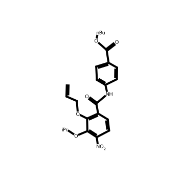 C=CCOc1c(C(=O)Nc2ccc(C(=O)OCCCC)cc2)ccc([N+](=O)[O-])c1OC(C)C